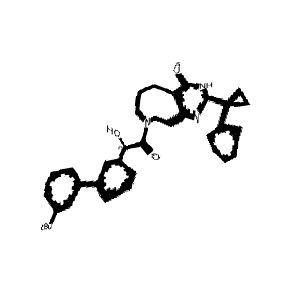 CC(C)(C)c1cccc(-c2cccc([C@@H](O)C(=O)N3CCCc4c(nc(C5(c6ccccc6)CC5)[nH]c4=O)C3)c2)c1